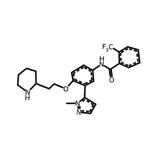 Cn1nccc1-c1cc(NC(=O)c2ccccc2C(F)(F)F)ccc1OCCC1CCCCN1